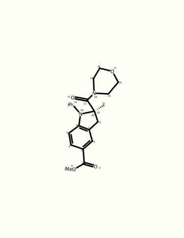 COC(=O)c1ccc2c(c1)C[C@](C)(C(=O)N1CCOCC1)N2C(C)C